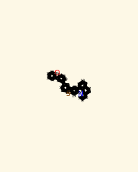 c1cnc2c(c1)ccc1cccc(-c3ccc4sc5ccc(-c6ccc7oc8ccccc8c7c6)cc5c4c3)c12